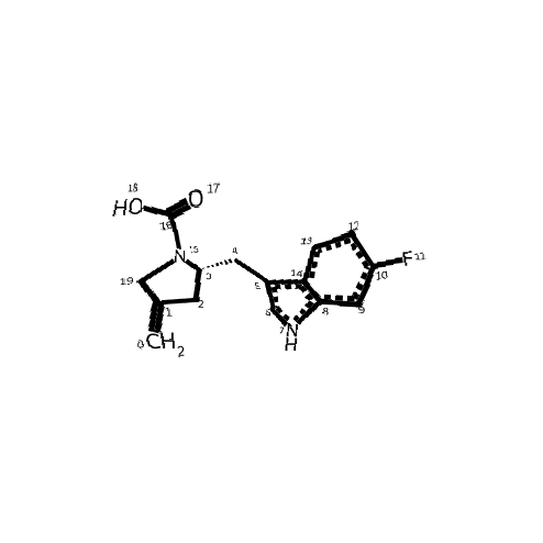 C=C1C[C@@H](Cc2c[nH]c3cc(F)ccc23)N(C(=O)O)C1